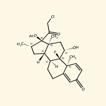 CC(=O)O[C@]1(C(=O)CCl)[C@@H](C)C[C@H]2[C@@H]3CCC4=CC(=O)C=C[C@]4(C)[C@@]3(F)[C@@H](O)C[C@@]21C